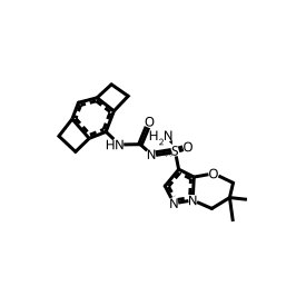 CC1(C)COc2c([S@](N)(=O)=NC(=O)Nc3c4c(cc5c3CC5)CC4)cnn2C1